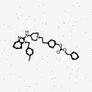 O=C(OCc1ccccc1)Oc1ccc(CCN2CCC(Nc3nc4ccccc4n3Cc3ccc(F)cc3)CC2)cc1